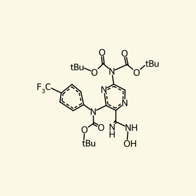 CC(C)(C)OC(=O)N(C(=O)OC(C)(C)C)c1cnc(C(=N)NO)c(N(C(=O)OC(C)(C)C)c2ccc(C(F)(F)F)cc2)n1